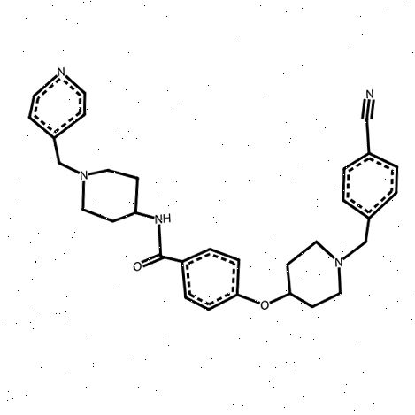 N#Cc1ccc(CN2CCC(Oc3ccc(C(=O)NC4CCN(Cc5ccncc5)CC4)cc3)CC2)cc1